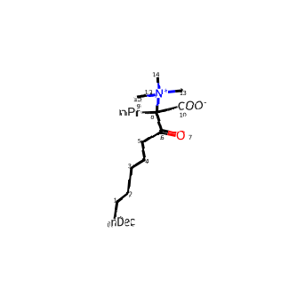 CCCCCCCCCCCCCCCC(=O)C(CCC)(C(=O)[O-])[N+](C)(C)C